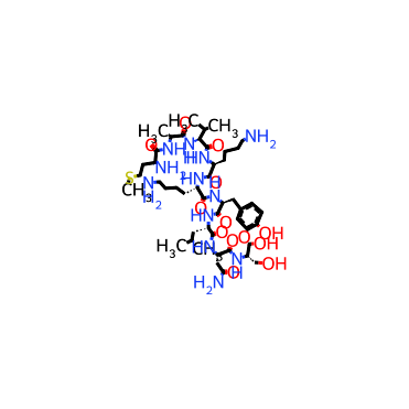 CSCC[C@H](N)C(=O)N[C@@H](C)C(=O)N[C@H](C(=O)N[C@@H](CCCCN)C(=O)N[C@@H](CCCCN)C(=O)N[C@@H](Cc1ccc(O)cc1)C(=O)N[C@@H](CC(C)C)C(=O)N[C@@H](CC(N)=O)C(=O)N[C@@H](CO)C(=O)O)C(C)C